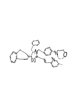 Cc1ccc(C=CC(=O)N(Cc2ccc(N3CCOCC3)cc2)C(Cc2ccccc2)C(=O)N2CCc3ccccc3C2)nc1